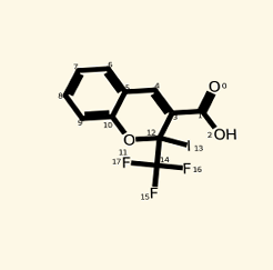 O=C(O)C1=Cc2ccccc2OC1(I)C(F)(F)F